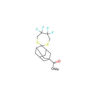 COC(=O)C12CC3CC(C1)C1(SCC(F)(F)C(F)(F)CS1)C(C3)C2